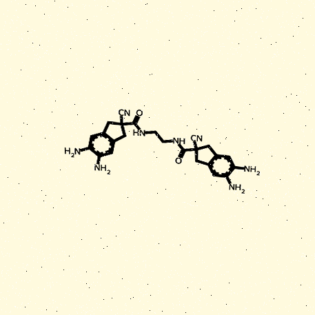 N#CC1(C(=O)NCCNC(=O)C2(C#N)Cc3cc(N)c(N)cc3C2)Cc2cc(N)c(N)cc2C1